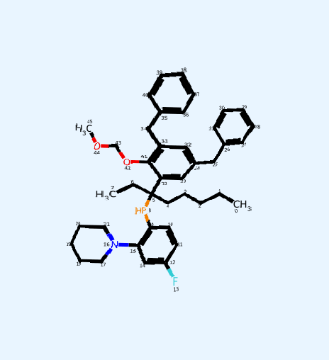 CCCCCC(CC)(Pc1ccc(F)cc1N1CCCCC1)c1cc(Cc2ccccc2)cc(Cc2ccccc2)c1OCOC